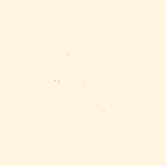 NC1CCC(N)C1C(c1ccccc1)(c1ccccc1)c1ccccc1